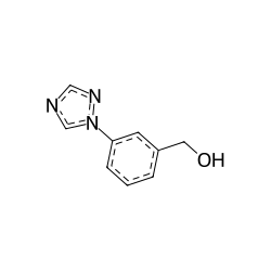 OCc1cccc(-n2cncn2)c1